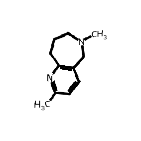 Cc1ccc2c(n1)CCCN(C)C2